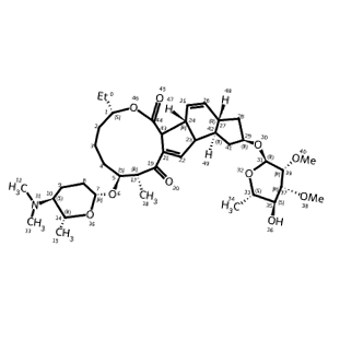 CC[C@H]1CCC[C@H](O[C@H]2CC[C@H](N(C)C)[C@@H](C)O2)[C@@H](C)C(=O)C2=CC3[C@@H](C=C[C@@H]4C[C@@H](O[C@@H]5O[C@@H](C)[C@H](O)[C@@H](OC)[C@H]5OC)C[C@@H]34)C2C(=O)O1